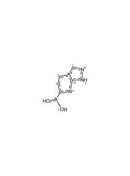 OB(O)c1ccc2cn[nH]c2n1